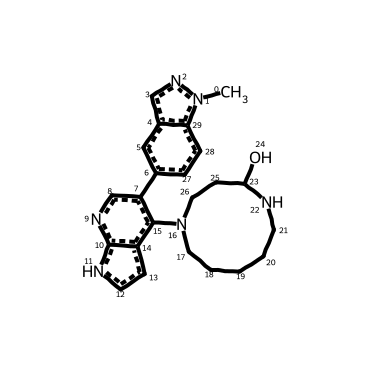 Cn1ncc2cc(-c3cnc4[nH]ccc4c3N3CCCCCNC(O)CC3)ccc21